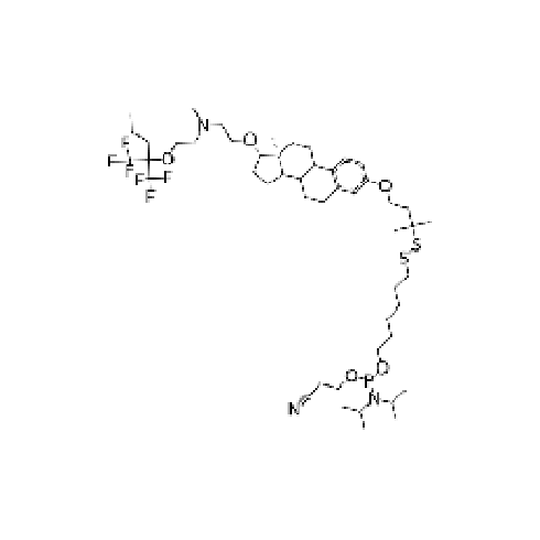 CCCC(OCCN(C)CCO[C@H]1CCC2C3CCc4cc(OCCC(C)(C)SSCCCCCCOP(OCCC#N)N(C(C)C)C(C)C)ccc4C3CC[C@@]21C)(C(F)(F)F)C(F)(F)F